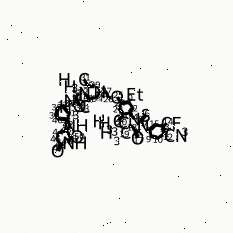 CCc1cc(N2C(=S)N(c3ccc(C#N)c(C(F)(F)F)c3)C(=O)C2(C)C)c(C)cc1OCCN1C=C(C)N(CC(=O)Nc2cccc(NC3CCC(=O)NC3=O)c2)[C@@H](C)C1